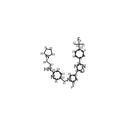 Cc1cc(-c2nc(-c3ccc(C(C)(C)F)cc3)no2)cn1Cc1ccc(NCCN2CCCC2)nc1